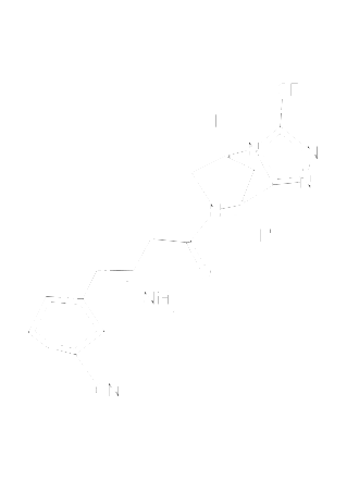 N#Cc1cccc(C[C@@H](N)CC(=O)N2C[C@@H]3C[C@H]2c2nnc(C(F)(F)F)n23)c1